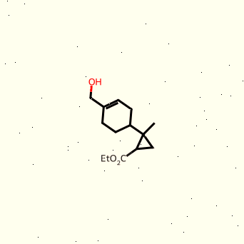 CCOC(=O)C1CC1(C)C1CC=C(CO)CC1